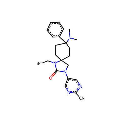 CC(C)CN1C(=O)N(c2cnc(C#N)nc2)CC12CCC(c1ccccc1)(N(C)C)CC2